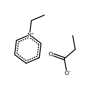 CCC(=O)[O-].CC[n+]1ccccc1